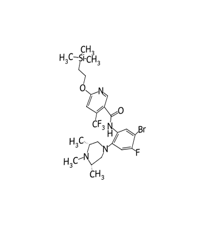 C[C@@H]1CN(c2cc(F)c(Br)cc2NC(=O)c2cnc(OCC[Si](C)(C)C)cc2C(F)(F)F)C[C@H](C)N1C